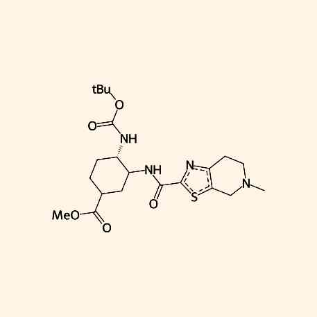 COC(=O)C1CC[C@H](NC(=O)OC(C)(C)C)C(NC(=O)c2nc3c(s2)CN(C)CC3)C1